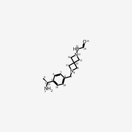 C[C@H](N)c1ccc(CN2CC3(CN(BC=O)C3)C2)cc1